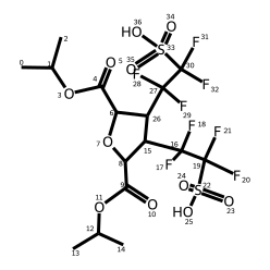 CC(C)OC(=O)C1OC(C(=O)OC(C)C)C(C(F)(F)C(F)(F)S(=O)(=O)O)C1C(F)(F)C(F)(F)S(=O)(=O)O